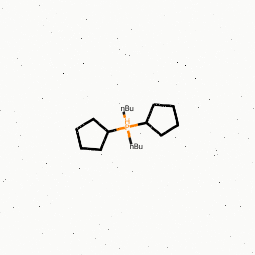 CCCC[PH](CCCC)(C1CCCC1)C1CCCC1